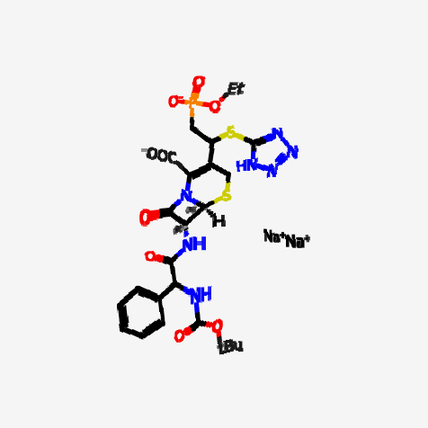 CCOP(=O)([O-])CC(Sc1nnn[nH]1)C1=C(C(=O)[O-])N2C(=O)[C@@H](NC(=O)C(NC(=O)OC(C)(C)C)c3ccccc3)[C@@H]2SC1.[Na+].[Na+]